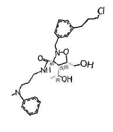 C[C@@H](O)[C@H]1[C@@H](CO)ON(Cc2cccc(CCCCl)c2)[C@H]1C(=O)NCCCN(C)c1ccccc1